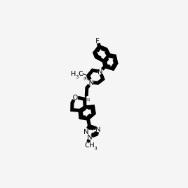 C[C@@H]1CN(c2cccc3cc(F)ccc23)CCN1CC[C@@H]1OCCc2cc(-c3ncn(C)n3)ccc21